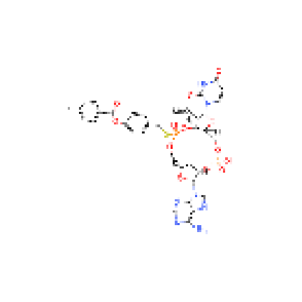 CO[C@@H]1[C@@H]2O[P@](=O)(SCc3ccc(OC(=O)c4ccc(C)cc4)cc3)OC[C@@H]3C[C@@H](OP(=O)(O)OC[C@H]2O[C@H]1n1ccc(=O)[nH]c1=O)[C@H](n1cnc2c(N)ncnc21)O3